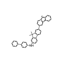 CC1(C)c2cc(Nc3ccc(-c4ccccc4)cc3)ccc2-c2ccc(-c3ccc4sc5ccccc5c4c3)cc21